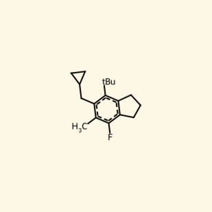 Cc1c(F)c2c(c(C(C)(C)C)c1CC1CC1)CCC2